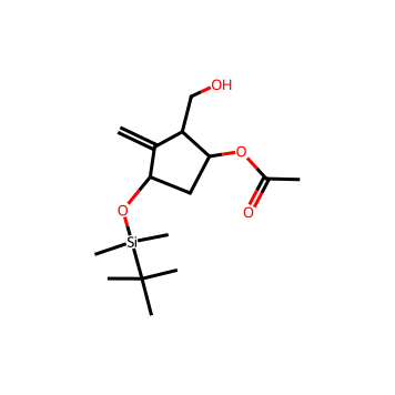 C=C1C(O[Si](C)(C)C(C)(C)C)CC(OC(C)=O)C1CO